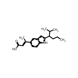 CCCC(c1cc2cc(/C(C)=C/C(=O)O)ccc2[nH]1)C(C)C